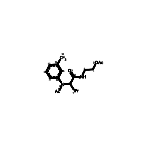 CC(=O)OCCNC(=O)C(C(C)C)N(C(C)=O)c1cccc(C(F)(F)F)c1